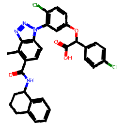 Cc1c(C(=O)NC2CCCc3ccccc32)ccc2c1nnn2-c1cc(OC(C(=O)O)c2ccc(Cl)cc2)ccc1Cl